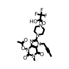 CC#CCn1c(N2CCNCC2)nc2c1c(=O)n(C)c(=O)n2OC(C)=O.O=C(O)C(F)(F)F